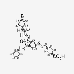 O=C(NN=C1C(=O)N(CCc2ccccc2)c2ccc(SCCc3ccc(C(=O)O)cc3)cc21)Nc1ccc(F)cc1